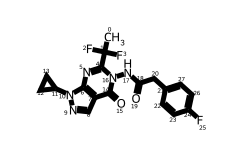 CC(F)(F)c1nc2c(cnn2C2CC2)c(=O)n1NC(=O)Cc1ccc(F)cc1